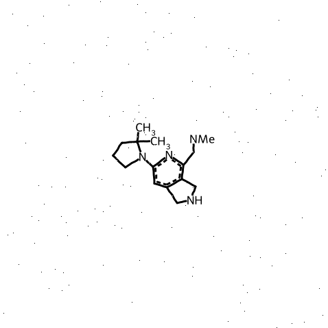 CNCc1nc(N2CCCC2(C)C)cc2c1CNC2